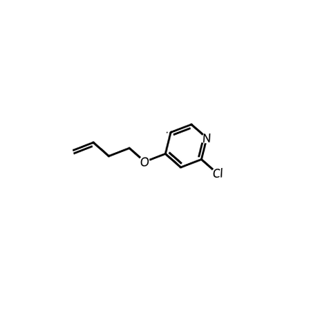 C=CCCOc1[c]cnc(Cl)c1